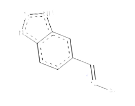 CC(=O)/N=C/c1ccc2nn[nH]c2c1